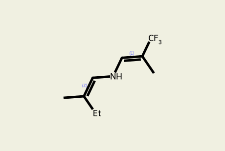 CC/C(C)=C\N/C=C(\C)C(F)(F)F